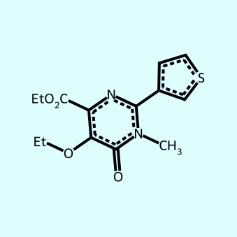 CCOC(=O)c1nc(-c2ccsc2)n(C)c(=O)c1OCC